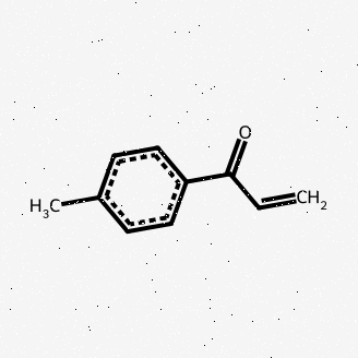 C=CC(=O)c1ccc(C)cc1